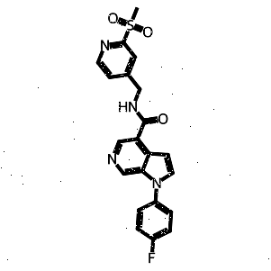 CS(=O)(=O)c1cc(CNC(=O)c2cncc3c2ccn3-c2ccc(F)cc2)ccn1